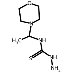 CC(NC(=S)NN)N1CCOCC1